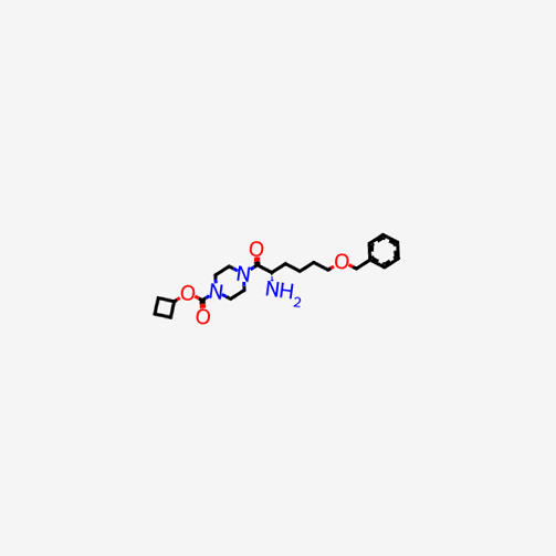 N[C@@H](CCCCOCc1ccccc1)C(=O)N1CCN(C(=O)OC2CCC2)CC1